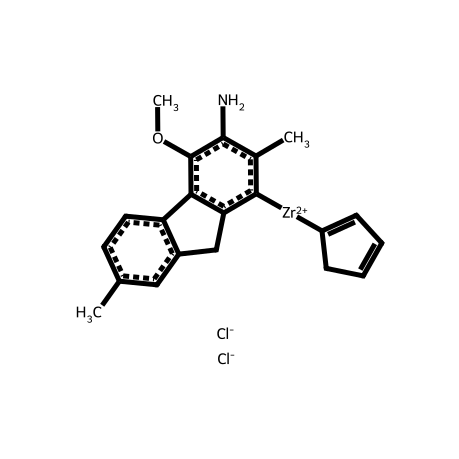 COc1c(N)c(C)[c]([Zr+2][C]2=CC=CC2)c2c1-c1ccc(C)cc1C2.[Cl-].[Cl-]